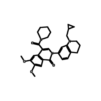 COc1cc2c(C(=O)N3CCCCC3)cn(-c3ccc4c(c3)N(CC3CC3)CCC4)c(=O)c2cc1OC